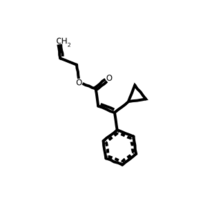 C=CCOC(=O)C=C(c1ccccc1)C1CC1